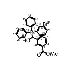 COC(=O)c1cccc(C(O)[P+](c2ccccc2)(c2ccccc2)c2ccccc2)c1.[Br-]